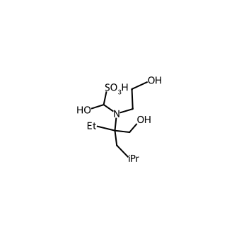 CCC(CO)(CC(C)C)N(CCO)C(O)S(=O)(=O)O